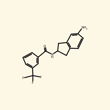 Nc1ccc2c(c1)CC(NC(=O)c1cccc(C(F)(F)F)c1)C2